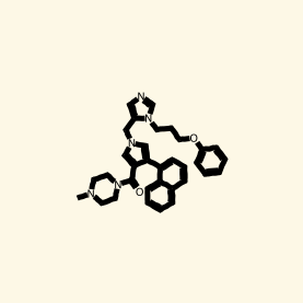 CN1CCN(C(=O)c2cn(Cc3cncn3CCCOc3ccccc3)cc2-c2cccc3ccccc23)CC1